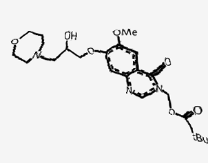 COc1cc2c(=O)n(COC(=O)C(C)(C)C)cnc2cc1OCC(O)CN1CCOCC1